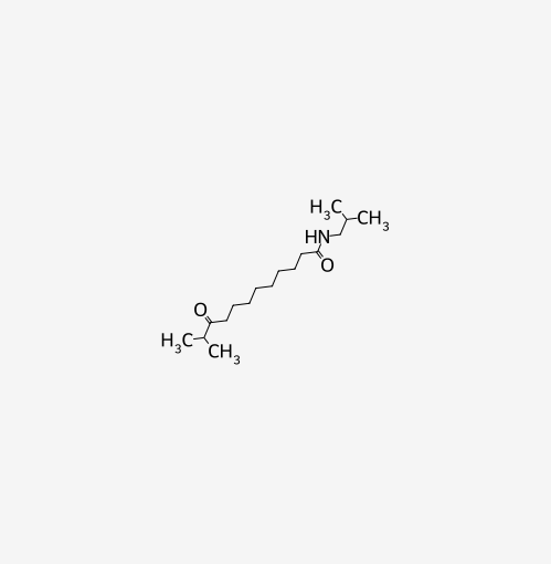 CC(C)CNC(=O)CCCCCCCCC(=O)C(C)C